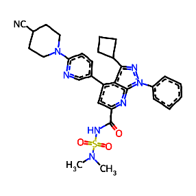 CN(C)S(=O)(=O)NC(=O)c1cc(-c2ccc(N3CCC(C#N)CC3)nc2)c2c(C3CCC3)nn(-c3ccccc3)c2n1